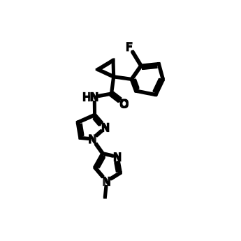 Cn1cnc(-n2ccc(NC(=O)C3(c4ccccc4F)CC3)n2)c1